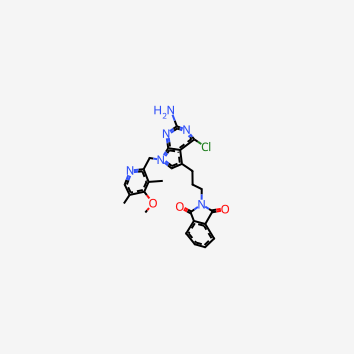 COc1c(C)cnc(Cn2cc(CCCN3C(=O)c4ccccc4C3=O)c3c(Cl)nc(N)nc32)c1C